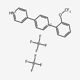 FC(F)(F)Oc1ccccc1-[n+]1ccc(-c2cc[nH+]cc2)cc1.F[B-](F)(F)F.F[B-](F)(F)F